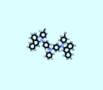 Cc1ccc(N(c2ccc(N(c3ccccc3)c3ccc(N(c4ccc(C)cc4)c4cc5ccccc5c5ccccc45)cc3)cc2)c2cc3ccccc3c3ccccc23)cc1